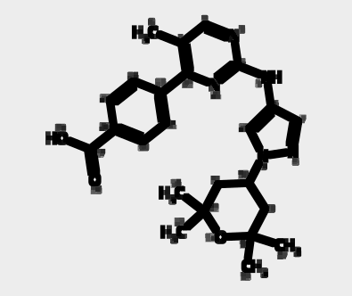 Cc1cnc(Nc2cnn(C3CC(C)(C)OC(C)(C)C3)c2)nc1-c1ccc(C(=O)O)cc1